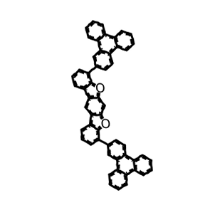 c1cc(-c2ccc3c4ccccc4c4ccccc4c3c2)c2oc3cc4oc5c(-c6ccc7c8ccccc8c8ccccc8c7c6)cccc5c4cc3c2c1